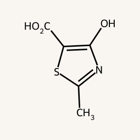 Cc1nc(O)c(C(=O)O)s1